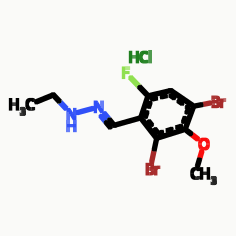 CCN/N=C/c1c(F)cc(Br)c(OC)c1Br.Cl